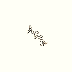 c1ccc(N(c2ccccc2)c2ccc(-c3cc4sc5cc(-c6ccc(N(c7ccccc7)c7ccccc7)cc6)c6ccccc6c5c4c4ccccc34)cc2)cc1